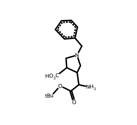 CC(C)(C)OC(=O)C(N)C1CN(Cc2ccccc2)CC1C(=O)O